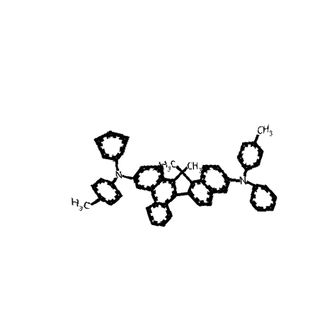 Cc1ccc(N(c2ccccc2)c2ccc3c4c(ccc3c2)-c2c(c3ccc(N(c5ccccc5)c5ccc(C)cc5)cc3c3ccccc23)C4(C)C)cc1